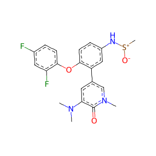 CN(C)c1cc(-c2cc(N[S+](C)[O-])ccc2Oc2ccc(F)cc2F)cn(C)c1=O